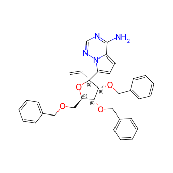 C=C[C@@]1(c2ccc3c(N)ncnn23)O[C@H](COCc2ccccc2)[C@@H](OCc2ccccc2)[C@H]1OCc1ccccc1